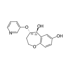 Oc1ccc2c(c1)[C@H](O)[C@@H](Oc1cccnc1)CCO2